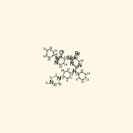 CN1CCN(c2ccc(N(c3ccccc3)c3ncc(Br)c(Nc4ccnn(-c5ccccc5)c4=O)n3)cc2)CC1